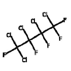 FC(F)(Cl)C(F)(Cl)C(F)(Cl)C(F)(Cl)Cl